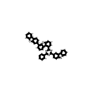 c1ccc(-c2nc(-c3ccc4sc5ccccc5c4c3)nc(-c3cccc4oc5c(-c6ccc7c(c6)oc6ccccc67)cccc5c34)n2)cc1